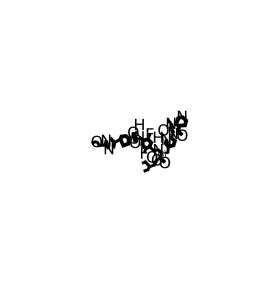 CCC(CC)COC(=O)[C@H](Cc1ccc(-n2c(=O)c3ccncc3n(C)c2=O)nc1)NC(=O)c1cc(F)c(NS(=O)(=O)c2ccc(-c3cnc(COC)nc3)cc2)cc1F